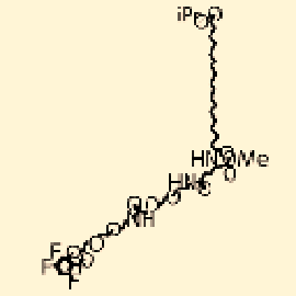 COC(=O)C(CCC(=O)NCCOCCOCC(=O)NCCOCCOCC(=O)Oc1c(F)c(F)cc(F)c1F)NC(=O)CCCCCCCCCCCCCCCCC(=O)OC(C)C